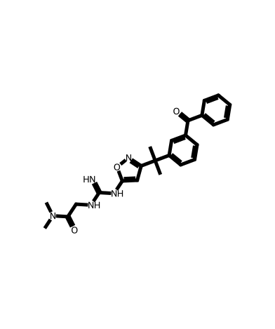 CN(C)C(=O)CNC(=N)Nc1cc(C(C)(C)c2cccc(C(=O)c3ccccc3)c2)no1